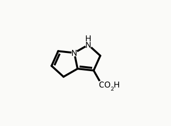 O=C(O)C1=C2CC=CN2NC1